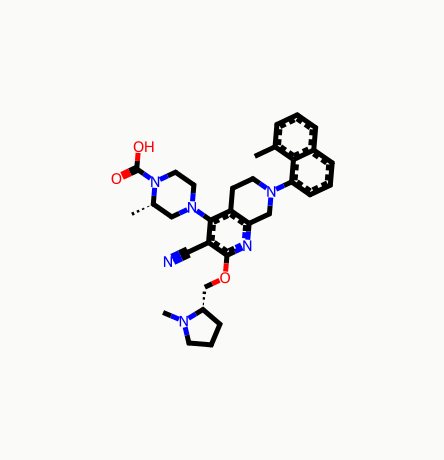 Cc1cccc2cccc(N3CCc4c(nc(OC[C@@H]5CCCN5C)c(C#N)c4N4CCN(C(=O)O)[C@@H](C)C4)C3)c12